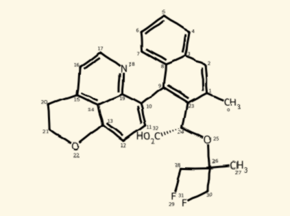 Cc1cc2ccccc2c(-c2ccc3c4c(ccnc24)CCO3)c1[C@H](OC(C)(CF)CF)C(=O)O